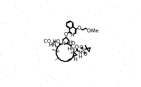 COCCOc1cnc(O[C@@H]2C[C@H]3C(=O)N[C@]4(C(=O)NS(=O)(=O)C5(C)CC5)C[C@H]4C=CCC[C@H](C)C[C@@H](C)[C@H](NC(=O)O)C(=O)N3C2)c2ccccc12